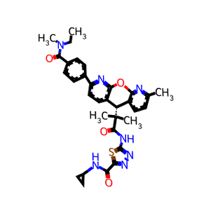 CCN(C)C(=O)c1ccc(-c2ccc3c(n2)Oc2nc(C)ccc2[C@@H]3C(C)(C)C(=O)Nc2nnc(C(=O)NC3CC3)s2)cc1